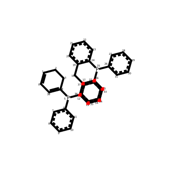 C1=CCCC(P(c2ccccc2)c2ccccc2Cc2ccccc2P(c2ccccc2)c2ccccc2)=C1